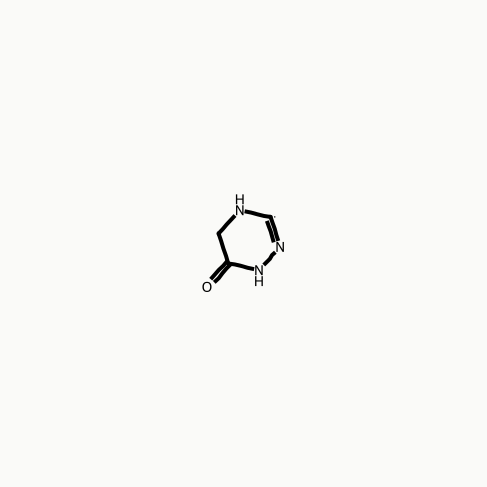 O=C1CN[C]=NN1